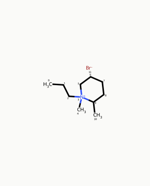 CCC[N+]1(C)CCCCC1C.[Br-]